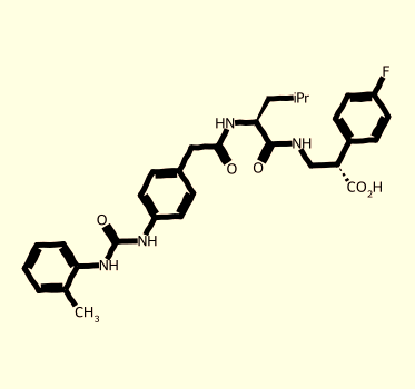 Cc1ccccc1NC(=O)Nc1ccc(CC(=O)N[C@@H](CC(C)C)C(=O)NC[C@@H](C(=O)O)c2ccc(F)cc2)cc1